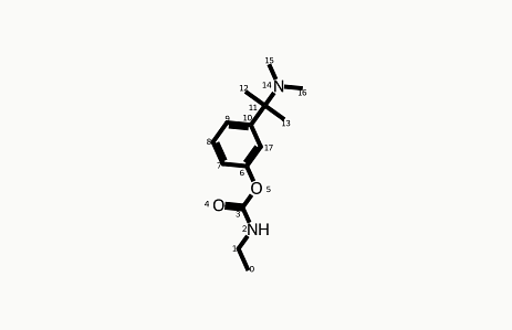 CCNC(=O)Oc1cccc(C(C)(C)N(C)C)c1